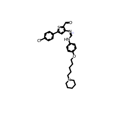 O=Cc1sc(-c2ccc(Cl)cc2)cc1/N=C\Nc1ccc(OCCCCCN2CCCCC2)cc1